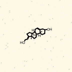 C[C@]12CCC(O)CC1=CC[C@@H]1[C@@H]2CC[C@]2(C)C(=CCO)CC[C@@H]12